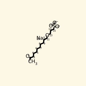 CC(=O)CCCCCCCCCOCCCS(=O)(=O)[O-].[Na+]